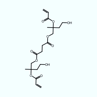 C=CC(=O)OC(C)(CCO)COC(=O)CCC(=O)OCC(C)(CCO)OC(=O)C=C